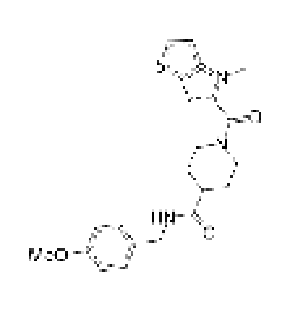 COc1ccc(CNC(=O)C2CCN(C(=O)c3cc4sccc4n3C)CC2)cc1